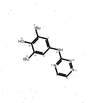 CC(C)(C)c1cc(Nc2nccnn2)cc(C(C)(C)C)c1O